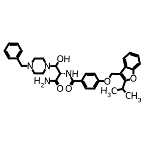 CC(C)c1oc2ccccc2c1COc1ccc(C(=O)N[C@H](C(N)=O)C(O)N2CCN(Cc3ccccc3)CC2)cc1